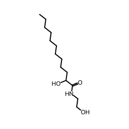 CCCCCCCCCCC(O)C(=O)NCCO